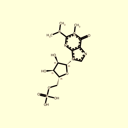 CN(C)c1nc2c(ncn2[C@@H]2O[C@H](COP(=O)(O)O)[C@@H](O)[C@H]2O)c(=O)n1C